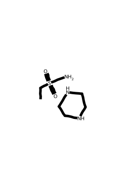 C1CNCCN1.CCS(N)(=O)=O